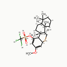 COC1=CC2SC[C@@H]3[C@@]4(C)CCCC(C)(C)[C@@H]4CC[C@@]3(C)C2C(OS(=O)(=O)C(F)(F)F)=C1